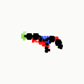 CC(C)COC(=O)N1Cc2cc(Oc3ccc(C(C)(C)C)cc3)ccc2C[C@H]1C(=O)N[C@@H](Cc1ccc(-c2ccc(C(F)(F)F)cc2)cc1)C(=O)O